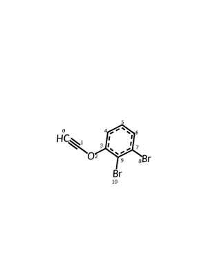 C#COc1cccc(Br)c1Br